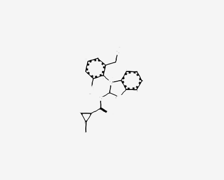 CC1CC1C(=O)NC1Sc2ccccc2N1c1c(Cl)cccc1CN